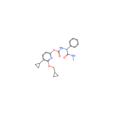 CNC(=O)C(NC(=O)Oc1ccc(C2CC2)c(OCC2CC2)n1)c1ccccc1